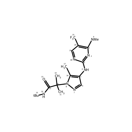 CNc1nc(Nc2cnn(C(C)(C)C(=O)NC(C)(C)C)c2C)ncc1C(F)(F)F